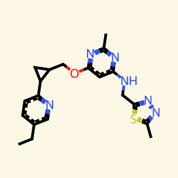 CCc1ccc(C2CC2COc2cc(NCc3nnc(C)s3)nc(C)n2)nc1